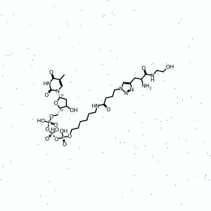 Cc1cn([C@@H]2CC(O)[C@H](COP(=O)(O)OP(=O)(O)OP(=O)(O)OCCCCCCNC(=O)CCCn3cc(CC(N)C(=O)NCCO)nn3)O2)c(=O)[nH]c1=O